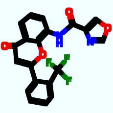 O=C(Nc1cccc2c(=O)cc(-c3ccccc3C(F)(F)F)oc12)c1cocn1